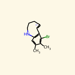 Cc1cc2c(c(Br)c1C)/C=C/CCCN2